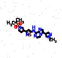 CC(C)S(=O)(=O)N1CCC(c2cc(Nc3nccn4c(C5C=NN(C)C5)cnc34)sn2)C1